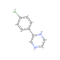 Clc1ccc(-c2cnccn2)cc1